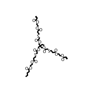 C=CC(=O)OCCOC(=O)CCSCC(=O)OCC(CC)(COC(=O)CSCCC(=O)OCCOC(=O)C=C)COC(=O)CSCCC(=O)OCCOC(=O)CCCC